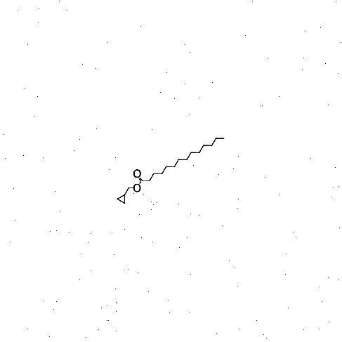 CCCCCCCCCCCCCC(=O)OCC1CC1